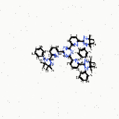 CC1(C)N=C(c2cccc(-c3nc(-c4cccc(C5=NC(C)(C)C(C)(C)N5c5ccccc5)n4)nc(-c4cccc(C5=NC(C)(C)C(C)(C)N5c5ccccc5)n4)n3)n2)N(c2ccccc2)C1(C)C